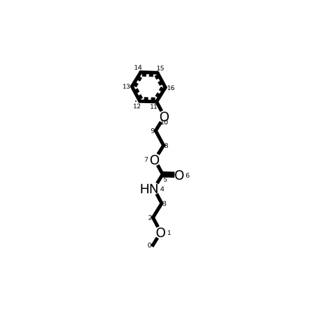 COCCNC(=O)OCCOc1[c]cccc1